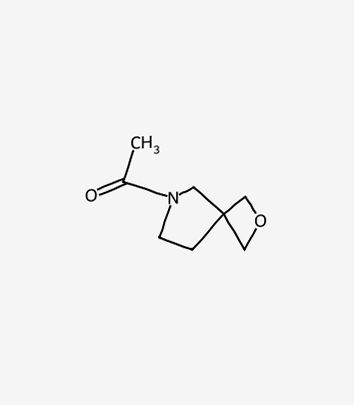 CC(=O)N1CCC2(COC2)C1